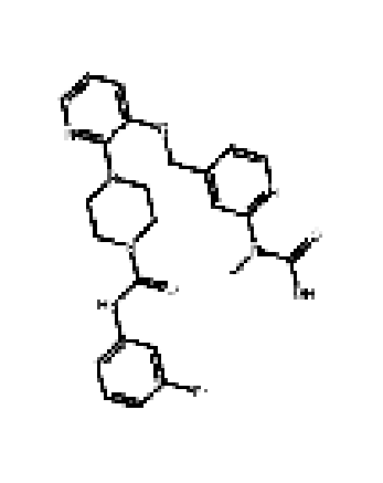 CN(C(=O)O)c1cc(COc2cccnc2N2CCN(C(=O)Nc3cccc(Br)c3)CC2)ccn1